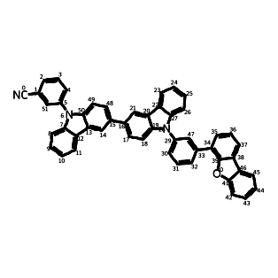 N#Cc1cccc(-n2c3ccccc3c3cc(-c4ccc5c(c4)c4ccccc4n5-c4cccc(-c5cccc6c5oc5ccccc56)c4)ccc32)c1